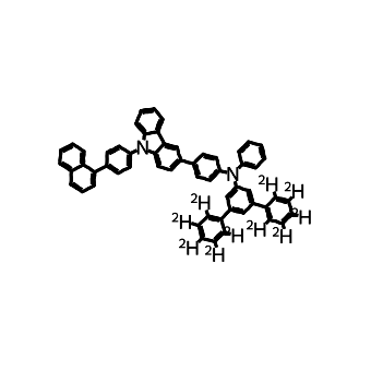 [2H]c1c([2H])c([2H])c(-c2cc(-c3c([2H])c([2H])c([2H])c([2H])c3[2H])cc(N(c3ccccc3)c3ccc(-c4ccc5c(c4)c4ccccc4n5-c4ccc(-c5cccc6ccccc56)cc4)cc3)c2)c([2H])c1[2H]